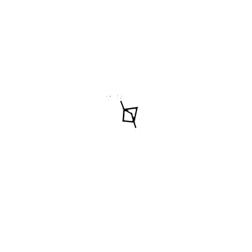 CNC12CC(C(F)(F)F)(C1)C2